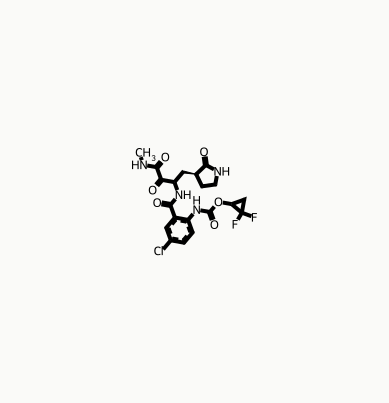 CNC(=O)C(=O)C(C[C@@H]1CCNC1=O)NC(=O)c1cc(Cl)ccc1NC(=O)OC1CC1(F)F